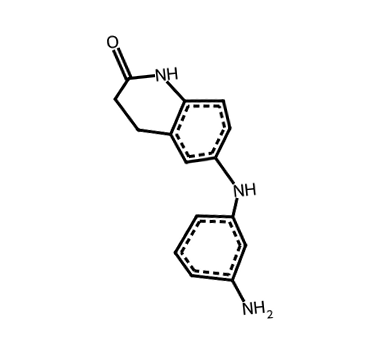 Nc1cccc(Nc2ccc3c(c2)CCC(=O)N3)c1